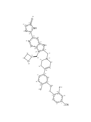 N#Cc1ccc(COc2cc(C3=CCN(Cc4nc5cc(-c6noc(=O)[nH]6)ncc5n4C[C@@H]4CCO4)CC3)ccc2F)c(F)c1